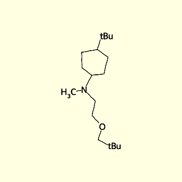 CN(CCOCC(C)(C)C)C1CCC(C(C)(C)C)CC1